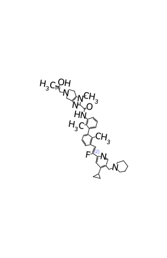 Cc1c(/C=C(\F)c2cc(C3CC3)c(CN3CCCCC3)cn2)cccc1-c1cccc(NC(=O)c2nc3c(n2C)CCN(C[C@@H](C)O)C3)c1C